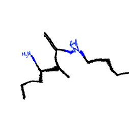 C=C(NCCCC)C(C)C(N)CCC